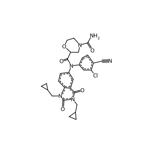 N#Cc1ccc(N(C(=O)C2CN(C(N)=O)CCO2)c2ccc3c(c2)c(=O)n(CC2CC2)c(=O)n3CC2CC2)cc1Cl